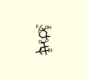 CCC(C)(C)C(C)(C=C(C)C)C(=O)OC1(C)CCOC(O)(C(F)(F)F)C1